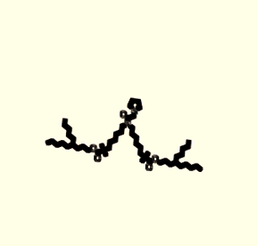 CCCCCC(CCCCC)CCCOC(=O)C(C)(C)CCCCCCN(CCCCCCC(C)(C)C(=O)OCCCC(CCCCC)CCCCC)C(=O)CN1CCCC1